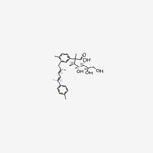 C/C(=C\C=C(/C)c1ccc(C)cc1)Cc1cc(C(C)(C=O)[C@H](C)[C@@H](O)[C@H](O)[C@H](O)CO)ccc1C